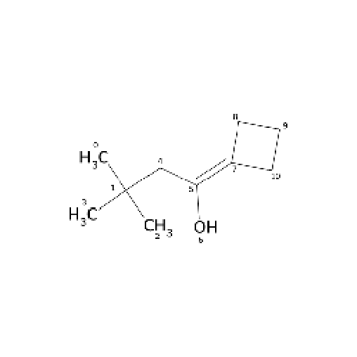 CC(C)(C)CC(O)=C1CCC1